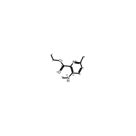 CCOC(=O)c1nc(C)ccc1NC